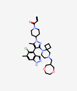 C=CC(=O)N1CCC(n2nc(N3CCN(CC4COCCOC4)CC34CCC4)c(-c3c(Cl)c(C)cc4[nH]ncc34)c2C)CC1